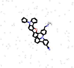 C=NCc1ccc(-n2c3ccccc3c3cc(C#N)ccc32)c(-c2cccc3c2oc2c3ccc3c2c2ccccc2n3-c2ccccc2)c1